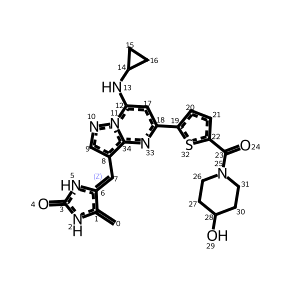 C=c1[nH]c(=O)[nH]/c1=C\c1cnn2c(NC3CC3)cc(-c3ccc(C(=O)N4CCC(O)CC4)s3)nc12